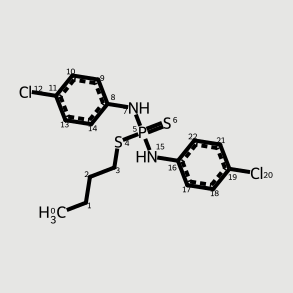 CCCCSP(=S)(Nc1ccc(Cl)cc1)Nc1ccc(Cl)cc1